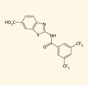 O=C(O)c1ccc2nc(NC(=O)c3cc(C(F)(F)F)cc(C(F)(F)F)c3)sc2c1